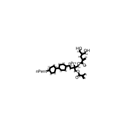 C=C(C)C(=O)OCC(CCC)(CCC1CCC(C2CCC(CCCCC)CC2)CC1)COC(=O)C(=C)CC(CO)CO